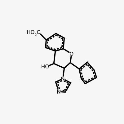 O=C(O)c1ccc2c(c1)C(O)C(n1ccnc1)C(c1ccccc1)O2